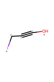 OC#CCI